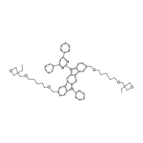 CCC1(COCCCCCOCc2ccc3c(c2)c2cc4c(cc2n3-c2ccccc2)c2cc(COCCCCCOCC3(CC)COC3)ccc2n4-c2nc(-c3ccccc3)cc(-c3ccccc3)n2)COC1